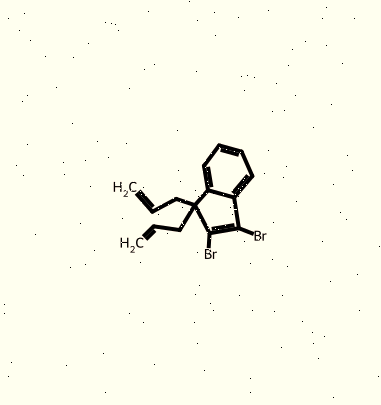 C=CCC1(CC=C)C(Br)=C(Br)c2ccccc21